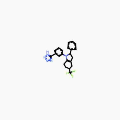 FC(F)(F)C1CCC2=C(CC(c3ccccc3)N2c2cccc(-c3nnn[nH]3)c2)C1